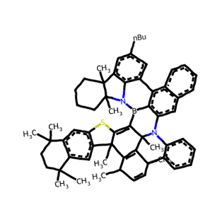 CCCCc1cc2c3c(c1)C1(C)CCCCC1(C)N3B1C3=C4Sc5cc6c(cc5C4(C)C4=C5C(C)(C=CC4C)c4ccccc4N(c4cc7ccccc7c-2c41)C35C)C(C)(C)CCC6(C)C